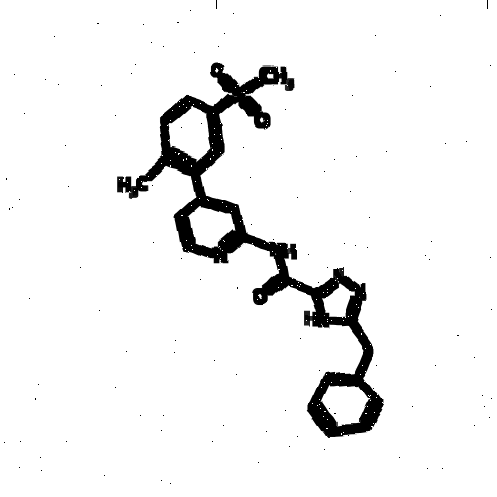 Cc1ccc(S(C)(=O)=O)cc1-c1ccnc(NC(=O)c2nnc(Cc3ccccc3)[nH]2)c1